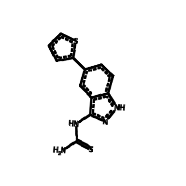 NC(=S)Nc1n[nH]c2ccc(-c3cccs3)cc12